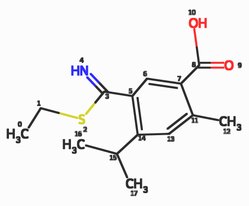 CCSC(=N)c1cc(C(=O)O)c(C)cc1C(C)C